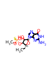 CC[C@H]1O[C@@H](n2cnc3c(=O)[nH]c(N)nc32)C(O)C1OP(O)(=S)OC